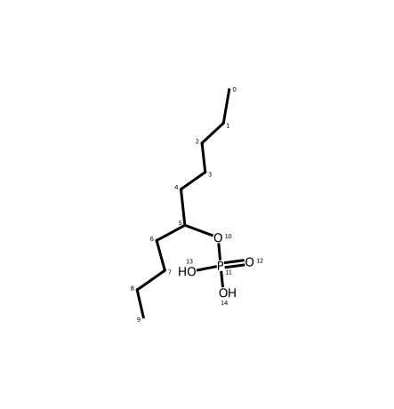 CCCCCC(CCCC)OP(=O)(O)O